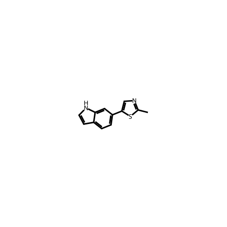 Cc1ncc(-c2ccc3cc[nH]c3c2)s1